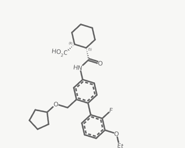 CCOc1cccc(-c2ccc(NC(=O)[C@H]3CCCC[C@H]3C(=O)O)cc2COC2CCCC2)c1F